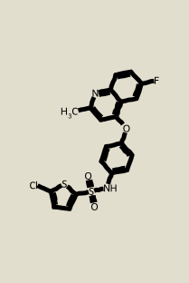 Cc1cc(Oc2ccc(NS(=O)(=O)c3ccc(Cl)s3)cc2)c2cc(F)ccc2n1